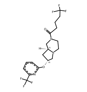 O=C(CCCC(F)(F)F)N1CCN2C[C@H](Oc3cccc(C(F)(F)F)n3)C[C@H]2C1